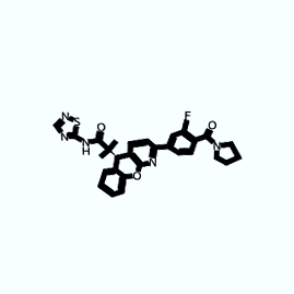 CC(C)(C(=O)Nc1ncns1)[C@H]1c2ccccc2Oc2nc(-c3ccc(C(=O)N4CCCC4)c(F)c3)ccc21